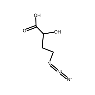 [N-]=[N+]=NCCC(O)C(=O)O